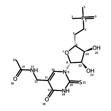 C=P(C)(C)CC[C@H]1O[C@@H](n2cc(CNC(C)=O)c(=O)[nH]c2=S)[C@H](O)[C@@H]1O